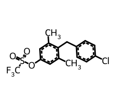 Cc1cc(OS(=O)(=O)C(F)(F)F)cc(C)c1Cc1ccc(Cl)cc1